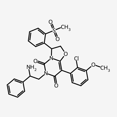 COc1cccc(-c2c3n(c(=O)n(CC(N)c4ccccc4)c2=O)C(c2ccccc2S(C)(=O)=O)CO3)c1Cl